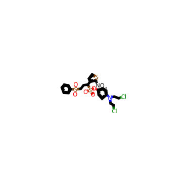 O=[N+]([O-])c1sccc1C(CCS(=O)(=O)c1ccccc1)S(=O)(=O)Oc1ccc(N(CCCl)CCCl)cc1